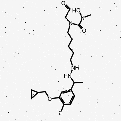 CC(NNCCCCCN(CC=O)C(=O)N(C)O)c1ccc(F)c(OCC2CC2)c1